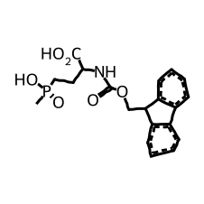 CP(=O)(O)CCC(NC(=O)OCC1c2ccccc2-c2ccccc21)C(=O)O